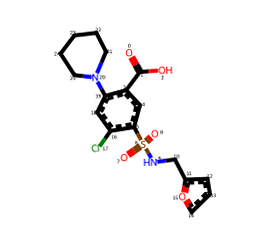 O=C(O)c1cc(S(=O)(=O)NCc2ccco2)c(Cl)cc1N1CCCCC1